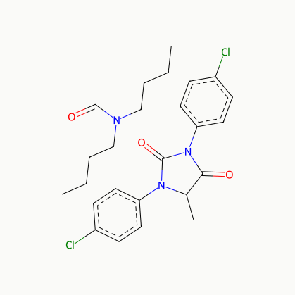 CC1C(=O)N(c2ccc(Cl)cc2)C(=O)N1c1ccc(Cl)cc1.CCCCN(C=O)CCCC